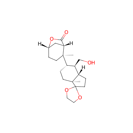 C[C@]1([C@H]2CC[C@@]3(C)[C@@H](CCC34OCCO4)[C@@H]2CO)CC[C@H]2C[C@@H]1C(=O)O2